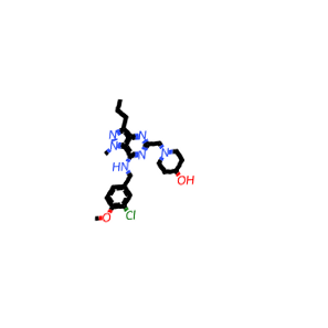 CCCc1nn(C)c2c(NCc3ccc(OC)c(Cl)c3)nc(CN3CCC(O)CC3)nc12